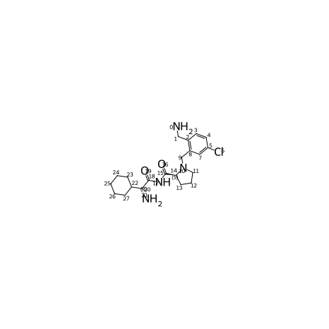 NCc1ccc(Cl)cc1CN1CCC[C@H]1C(=O)NC(=O)[C@H](N)C1CCCCC1